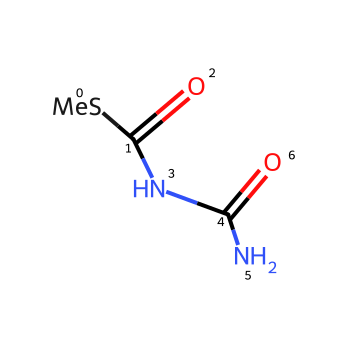 CSC(=O)NC(N)=O